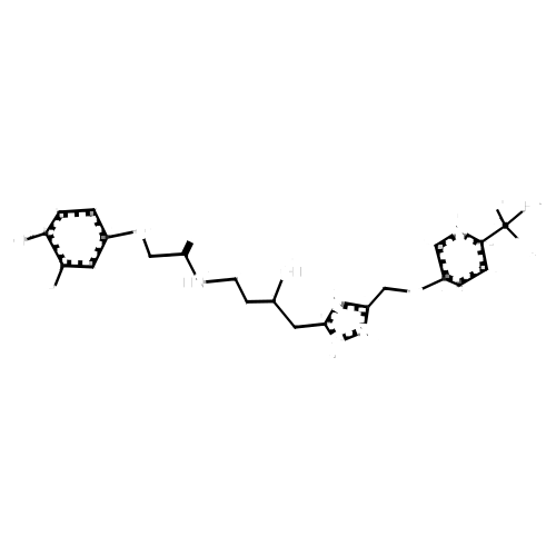 O=C(COc1ccc(Cl)c(F)c1)NCCC(O)Cc1nc(COc2ccc(C(F)(F)F)nc2)no1